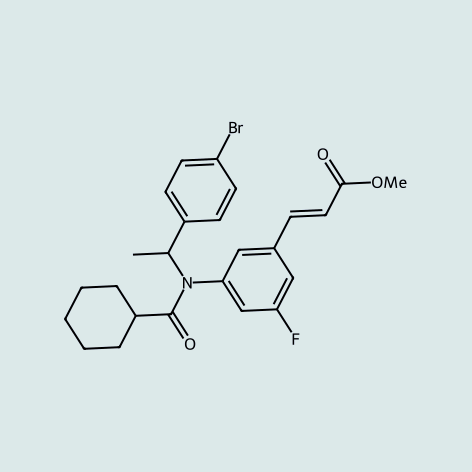 COC(=O)/C=C/c1cc(F)cc(N(C(=O)C2CCCCC2)C(C)c2ccc(Br)cc2)c1